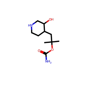 CC(C)(CC1CCNCC1O)OC(N)=O